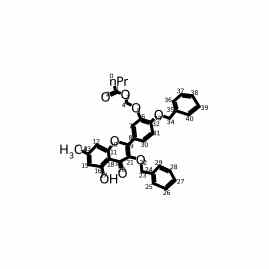 CCCC(=O)OCOc1cc(-c2oc3cc(C)cc(O)c3c(=O)c2OCc2ccccc2)ccc1OCc1ccccc1